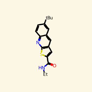 [CH2]CNC(=O)c1cc2cc3cc(C(C)(C)C)ccc3nc2s1